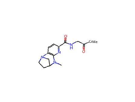 COC(=O)CNC(=O)c1ccc2c(n1)N(C)C1CCN2C1